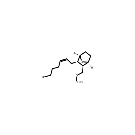 CCCCCCOC[C@H]1[C@@H](C/C=C\CCCBr)[C@H]2CC[C@@H]1O2